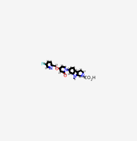 Cn1c2c(c3ccc(-n4ccc(OCc5ccc(F)cn5)cc4=O)cc31)CCN(C(=O)O)C2